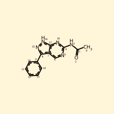 CC(=O)Nc1ncc2c(-c3ccccc3)n[nH]c2n1